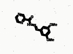 COc1cc(C=NNC(=O)c2cnccn2)cc(OC)c1